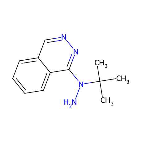 CC(C)(C)N(N)c1nncc2ccccc12